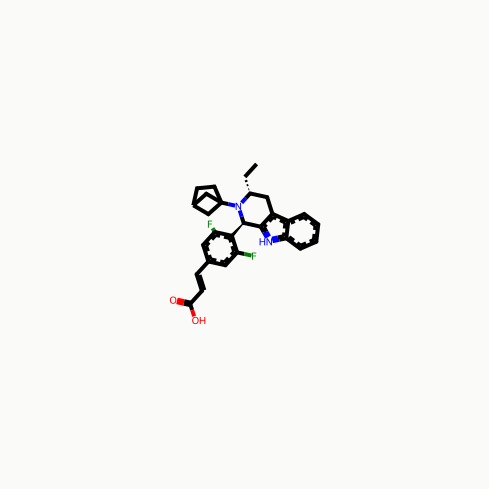 CC[C@@H]1Cc2c([nH]c3ccccc23)[C@@H](c2c(F)cc(/C=C/C(=O)O)cc2F)N1C12CCC(C1)C2